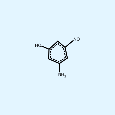 Nc1cc(O)cc(N=O)c1